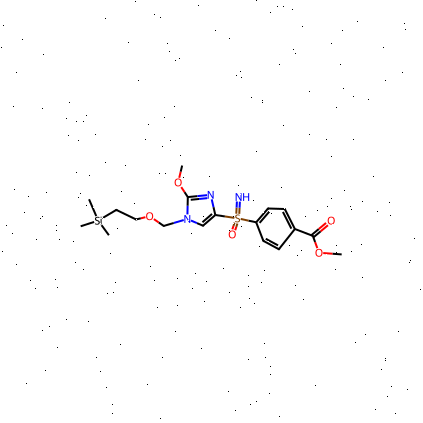 COC(=O)c1ccc(S(=N)(=O)c2cn(COCC[Si](C)(C)C)c(OC)n2)cc1